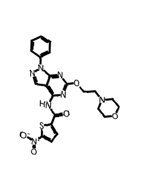 O=C(Nc1nc(OCCN2CCOCC2)nc2c1cnn2-c1ccccc1)c1ccc([N+](=O)[O-])s1